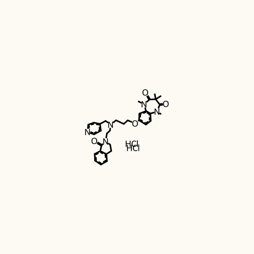 CN1C(=O)C(C)(C)C(=O)N(C)c2cc(OCCCN(CCN3CCc4ccccc4C3=O)Cc3ccncc3)ccc21.Cl.Cl